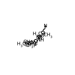 Cc1cc(/C=C/C#N)cc(C)c1Oc1ccnc(Nc2ccc(N3CCN(C(=O)OC(C)(C)C)CC3)c(C(F)(F)F)c2)n1